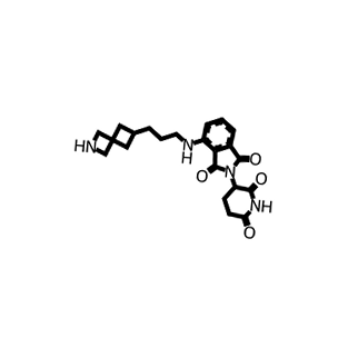 O=C1CCC(N2C(=O)c3cccc(NCCCC4CC5(CNC5)C4)c3C2=O)C(=O)N1